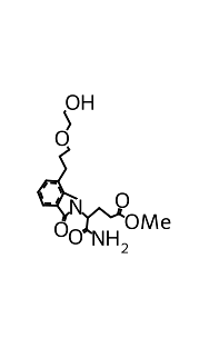 COC(=O)CCC(C(N)=O)N1Cc2c(CCCOCCO)cccc2C1=O